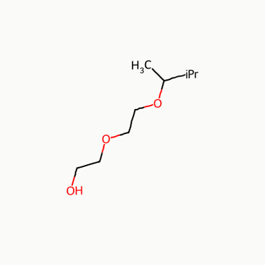 CC(C)C(C)OCCOCCO